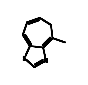 CC1=c2ncsc2=CC=CC1